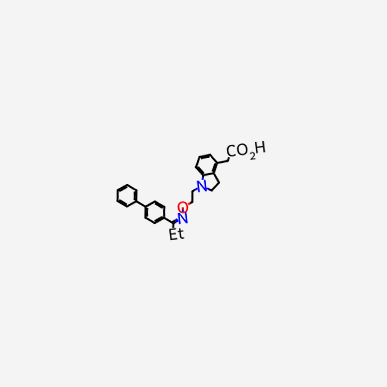 CCC(=NOCCN1CCc2c(CC(=O)O)cccc21)c1ccc(-c2ccccc2)cc1